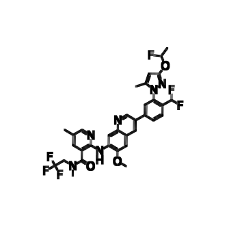 COc1cc2cc(-c3ccc(C(F)F)c(-n4nc(OC(C)F)cc4C)c3)cnc2cc1Nc1ncc(C)cc1C(=O)N(C)CC(F)(F)F